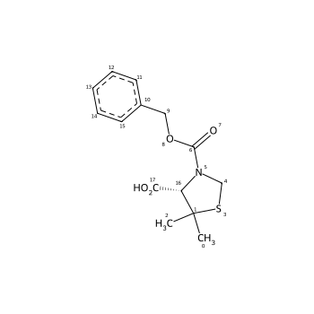 CC1(C)SCN(C(=O)OCc2ccccc2)[C@H]1C(=O)O